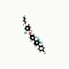 C=CCCOc1ccc(OCc2ccc(-c3ccc(C4CCC(C)CC4)c(F)c3F)cc2)c(F)c1